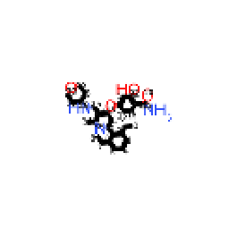 CCc1cccc(CC)c1-c1cc(Oc2ccc(C(N)=O)c(O)c2)c(CNC2CCOCC2)c(C)n1